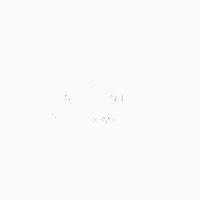 COC(C(=S)NCC1CC1)c1cscn1